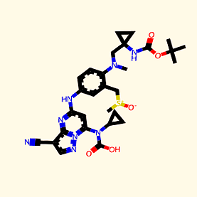 CN(CC1(NC(=O)OC(C)(C)C)CC1)c1ccc(Nc2cc(N(C(=O)O)C3CC3)n3ncc(C#N)c3n2)cc1C[S+](C)[O-]